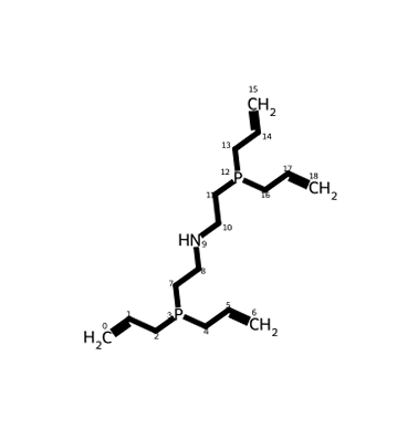 C=CCP(CC=C)CCNCCP(CC=C)CC=C